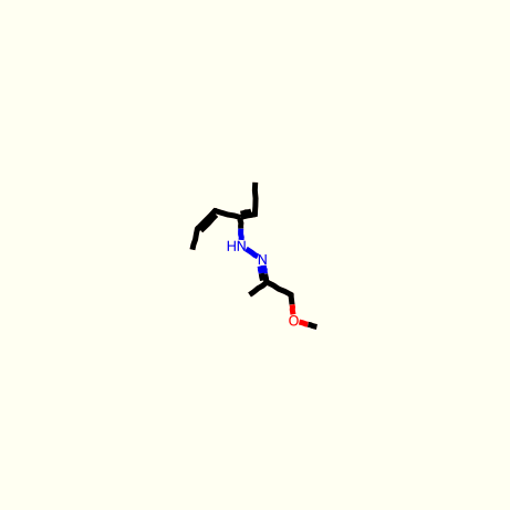 C/C=C\C(=C/C)N/N=C(\C)COC